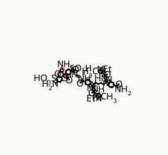 CCn1nc(C)cc1C(=O)Nc1nc2cc(C(N)=O)ccc2n1CCCCn1c(NC(=O)c2cc(C)nn2CC)nc2cc(C(=O)NCCNC(=O)C3(S(=O)(=O)O)C=CC4=C(C3)C(=O)OC43c4ccc(N)cc4Oc4c3ccc(N)c4S(=O)(=O)O)ccc21